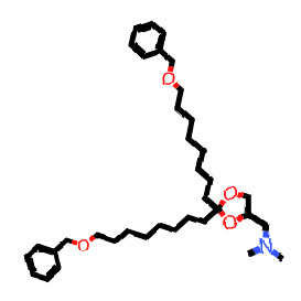 CN(C)CC1COC(CCCCCCCCOCc2ccccc2)(CCCCCCCCOCc2ccccc2)O1